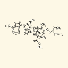 CCC(CC)COC(=O)[C@H](C)NP(=O)(N[C@@H](C)C(=O)OC)OC[C@@]1(C#N)O[C@@H](c2ccc3c(N)ncnn23)[C@H](O)[C@@H]1O